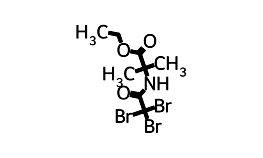 CCOC(=O)C(C)(C)NC(=O)C(Br)(Br)Br